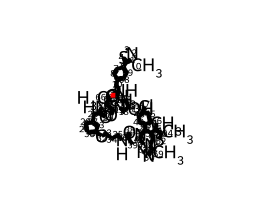 Cc1ncsc1-c1ccc(CNC(=O)[C@@H]2C[C@@H](O)CN2C(=O)[C@@H](NC(=O)Cc2cccc(OCCCNC(=O)C[C@@H]3N=C(c4ccc(Cl)cc4)c4c(sc(C)c4C)-n4c(C)nnc43)c2)C(C)(C)C)cc1